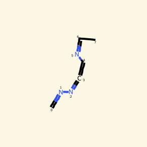 C=NN=C=C/N=C\C